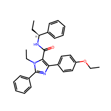 CCOc1ccc(-c2nc(-c3ccccc3)n(CC)c2C(=O)N[C@@H](CC)c2ccccc2)cc1